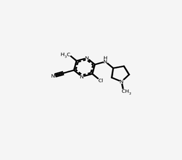 Cc1nc(NC2CCN(C)C2)c(Cl)nc1C#N